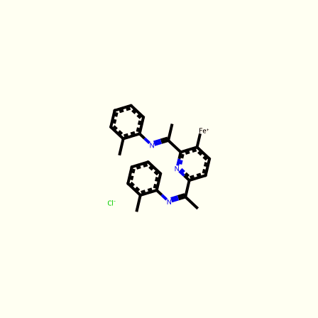 CC(=Nc1ccccc1C)c1cc[c]([Fe+])c(C(C)=Nc2ccccc2C)n1.[Cl-]